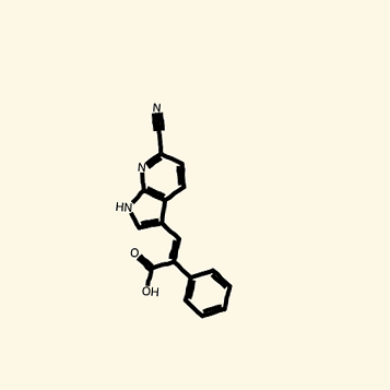 N#Cc1ccc2c(C=C(C(=O)O)c3ccccc3)c[nH]c2n1